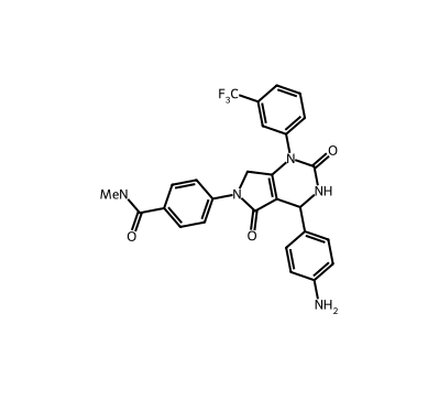 CNC(=O)c1ccc(N2CC3=C(C2=O)C(c2ccc(N)cc2)NC(=O)N3c2cccc(C(F)(F)F)c2)cc1